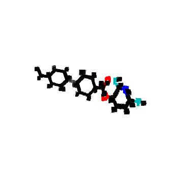 CC[C@H]1CC[C@H](C2CCC(C(=O)Oc3ccc(F)nc3F)CC2)CC1